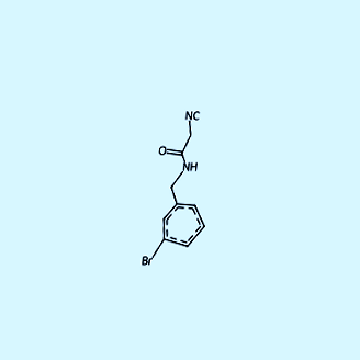 [C-]#[N+]CC(=O)NCc1cccc(Br)c1